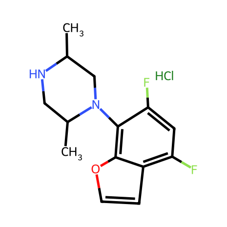 CC1CN(c2c(F)cc(F)c3ccoc23)C(C)CN1.Cl